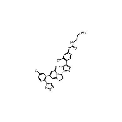 COCCNC(=O)Oc1ccc(-c2nnc([C@@H]3CCc4cc(-c5cc(Cl)ccc5-n5cnnn5)cc(=O)n43)[nH]2)c(Cl)c1